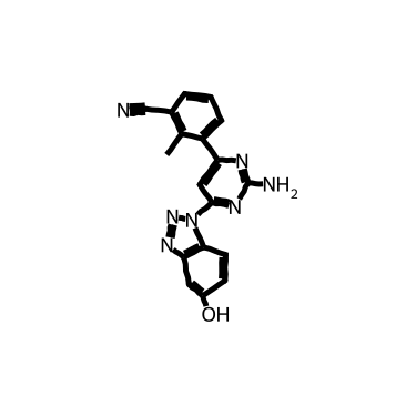 Cc1c(C#N)cccc1-c1cc(-n2nnc3cc(O)ccc32)nc(N)n1